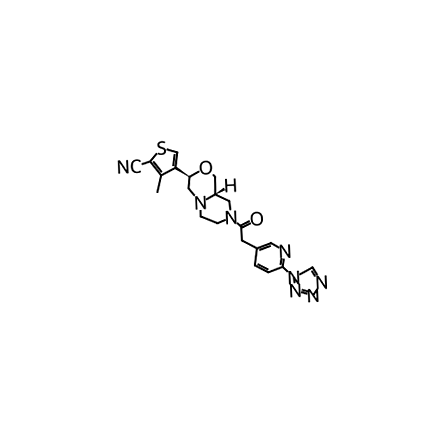 Cc1c([C@@H]2CN3CCN(C(=O)Cc4ccc(-n5cnnn5)nc4)C[C@H]3CO2)csc1C#N